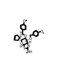 CNC1=N[C@@H]2[C@@H](OCc3ccc(OC)cc3)[C@H](OCc3ccc(OC)cc3)[C@@H](C3(O)CC=CC3)O[C@@H]2S1